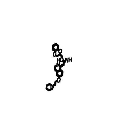 N=C(/C=C1\NCCc2cc(OCCN3CCCCC3)ccc21)OCC1COc2ccccc2O1